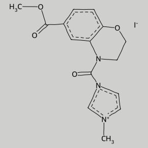 COC(=O)c1ccc2c(c1)N(C(=O)n1cc[n+](C)c1)CCO2.[I-]